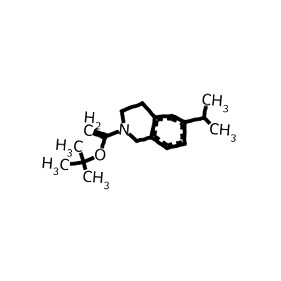 C=C(OC(C)(C)C)N1CCc2cc(C(C)C)ccc2C1